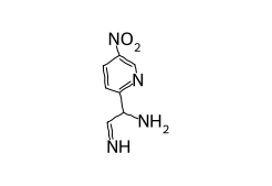 N=CC(N)c1ccc([N+](=O)[O-])cn1